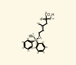 CC(C)(C)[Si](OCCC(I)CC(F)(F)C(=O)O)(c1ccccc1)c1ccccc1